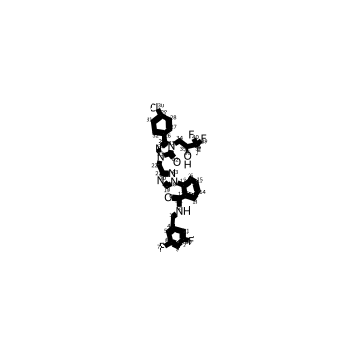 O=C(NCc1cc(F)cc(F)c1)c1ccccc1-n1cnc(Cn2nc(-c3ccc(Cl)cc3)n(C[C@H](O)C(F)(F)F)c2=O)n1